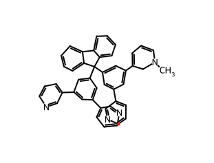 CN1C=CC=C(c2cc(-c3cccnc3)cc(C3(c4cc(-c5cccnc5)cc(-c5cccnc5)c4)c4ccccc4-c4ccccc43)c2)C1